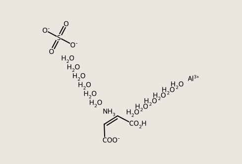 N.O.O.O.O.O.O.O.O.O.O.O.O.O=C([O-])/C=C\C(=O)O.O=S(=O)([O-])[O-].[Al+3]